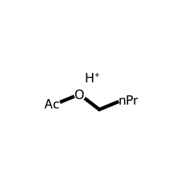 CCCCOC(C)=O.[H+]